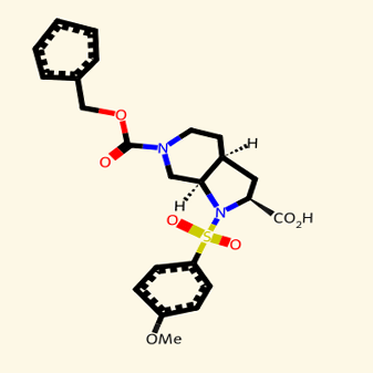 COc1ccc(S(=O)(=O)N2[C@H](C(=O)O)C[C@@H]3CCN(C(=O)OCc4ccccc4)C[C@@H]32)cc1